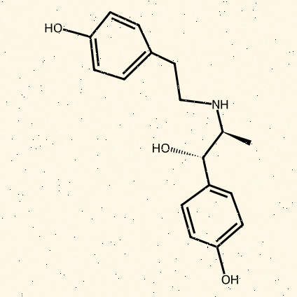 C[C@H](NCCc1ccc(O)cc1)[C@@H](O)c1ccc(O)cc1